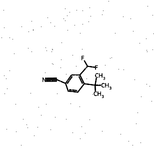 CC(C)(C)c1ccc(C#N)cc1C(F)F